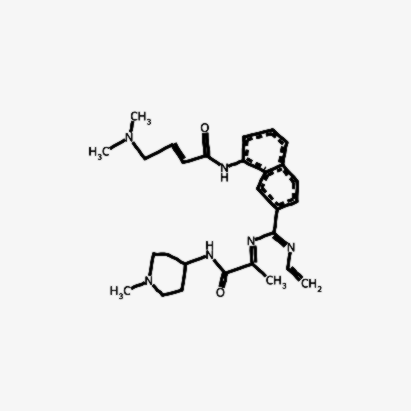 C=C/N=C(\N=C(/C)C(=O)NC1CCN(C)CC1)c1ccc2cccc(NC(=O)/C=C/CN(C)C)c2c1